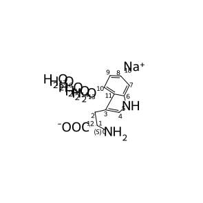 N[C@@H](Cc1c[nH]c2ccccc12)C(=O)[O-].O.O.O.O.O.[Na+]